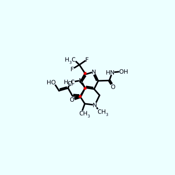 CC(/C(=C/C(Cl)=C/O)CN(C)CC(C)(F)F)N(C)Cc1c(C=O)ccnc1C(=O)NO